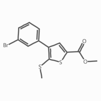 COC(=O)c1cc(-c2cccc(Br)c2)c(SC)s1